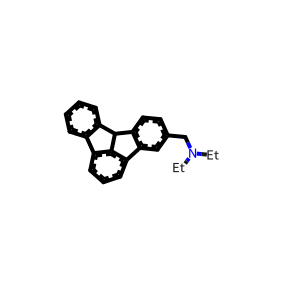 CCN(CC)Cc1ccc2c(c1)-c1cccc3c1C2c1ccccc1-3